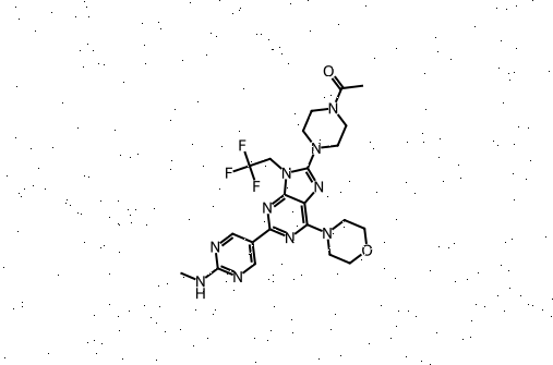 CNc1ncc(-c2nc(N3CCOCC3)c3nc(N4CCN(C(C)=O)CC4)n(CC(F)(F)F)c3n2)cn1